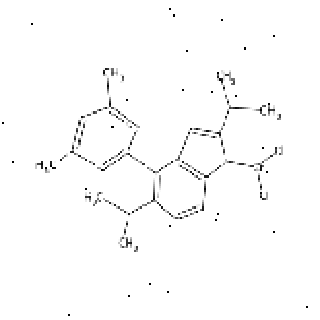 Cc1cc(C)cc(-c2c(C(C)C)ccc3c2C=C(C(C)C)[CH]3[Zr]([Cl])[Cl])c1